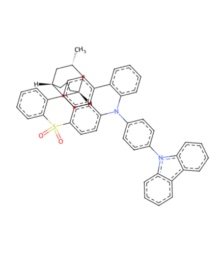 C[C@@H]1C[C@H]2CCC[C@@H](C1)C21c2ccccc2S(=O)(=O)c2ccc(N(c3ccc(-n4c5ccccc5c5ccccc54)cc3)c3ccccc3-c3ccccc3)cc21